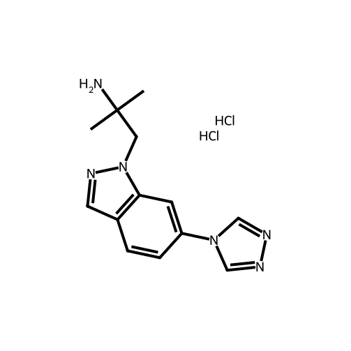 CC(C)(N)Cn1ncc2ccc(-n3cnnc3)cc21.Cl.Cl